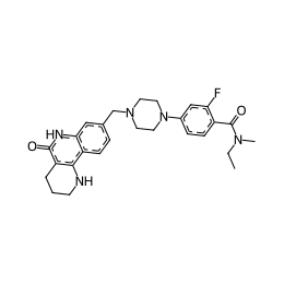 CCN(C)C(=O)c1ccc(N2CCN(Cc3ccc4c5c(c(=O)[nH]c4c3)CCCN5)CC2)cc1F